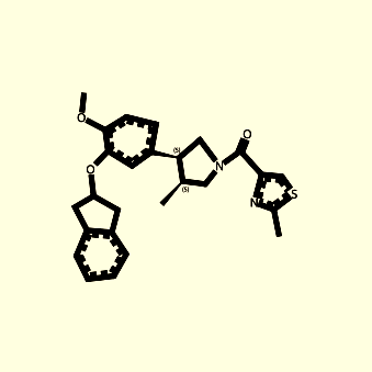 COc1ccc([C@H]2CN(C(=O)c3csc(C)n3)C[C@H]2C)cc1OC1Cc2ccccc2C1